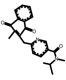 CC1=C(Cc2ccc(C(=O)N(C)C(C)C)cn2)C(=O)c2ccccc2C1=O